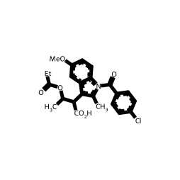 CCC(=O)OC(C)C(C(=O)O)c1c(C)n(C(=O)c2ccc(Cl)cc2)c2ccc(OC)cc12